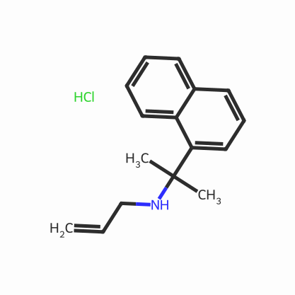 C=CCNC(C)(C)c1cccc2ccccc12.Cl